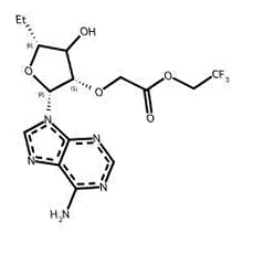 CC[C@H]1O[C@@H](n2cnc3c(N)ncnc32)[C@@H](OCC(=O)OCC(F)(F)F)C1O